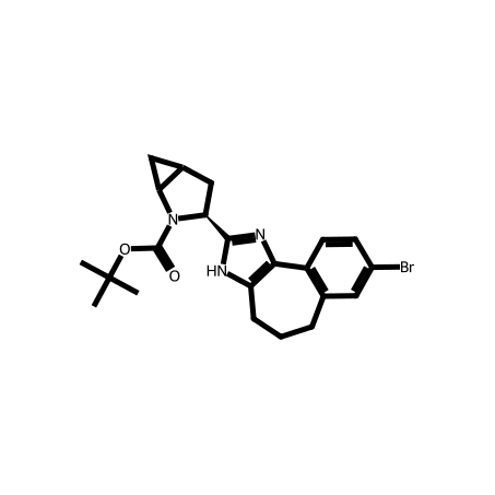 CC(C)(C)OC(=O)N1C2CC2C[C@H]1c1nc2c([nH]1)CCCc1cc(Br)ccc1-2